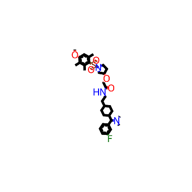 COc1cc(C)c(S(=O)(=O)N2CCC(OCC(=O)NCCC3CCC(C(c4cccc(F)c4)N(C)C)CC3)C2)c(C)c1C